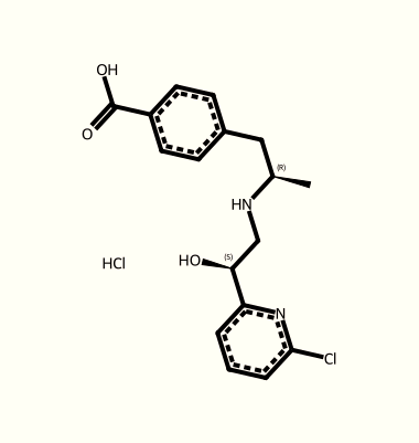 C[C@H](Cc1ccc(C(=O)O)cc1)NC[C@H](O)c1cccc(Cl)n1.Cl